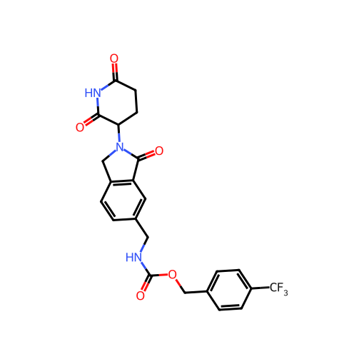 O=C1CCC(N2Cc3ccc(CNC(=O)OCc4ccc(C(F)(F)F)cc4)cc3C2=O)C(=O)N1